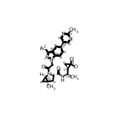 CC(=O)c1nn(CC(=O)N2[C@H](C(=O)N[C@H](C)[C@H]3CC3(Cl)Cl)C[C@@]3(C)C[C@@H]23)c2ccc(-c3cnc(C)nc3)cc12